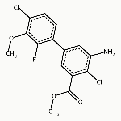 COC(=O)c1cc(-c2ccc(Cl)c(OC)c2F)cc(N)c1Cl